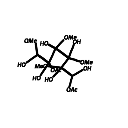 COC(O)C(O)(OC(C)=O)C(O)(OC)C(O)(OC)C(O)(OC)C(O)OC(C)=O